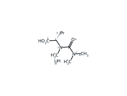 CC(C)[C@@H](C(=O)O)N(C)C(=O)N(C)C.[LiH]